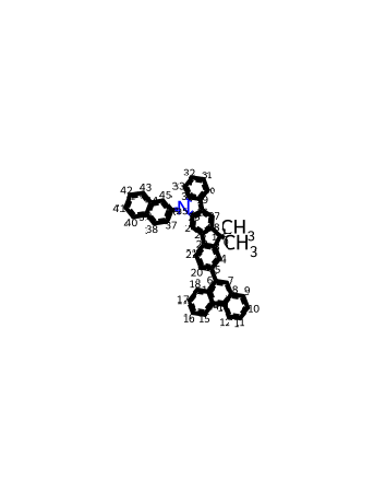 CC1(C)c2cc(-c3cc4ccccc4c4ccccc34)ccc2-c2cc3c(cc21)c1ccccc1n3-c1ccc2ccccc2c1